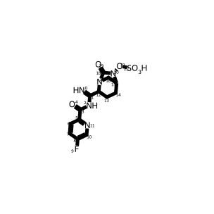 N=C(NC(=O)c1ccc(F)cn1)C1CCC2CN1C(=O)N2OS(=O)(=O)O